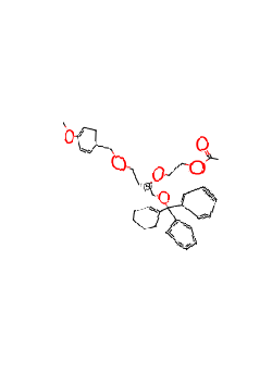 COC1=CCC(COCC[C@@H](COC(C2=CCCCC2)(c2ccccc2)C2C=CC=CC2)OCCOC(C)=O)C=C1